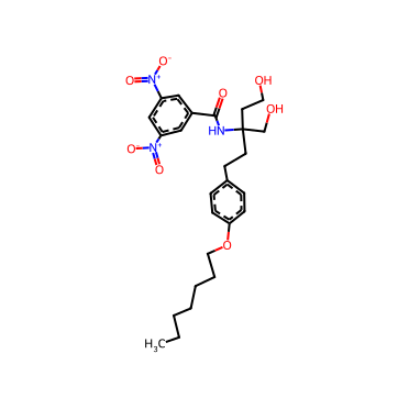 CCCCCCCOc1ccc(CCC(CO)(CCO)NC(=O)c2cc([N+](=O)[O-])cc([N+](=O)[O-])c2)cc1